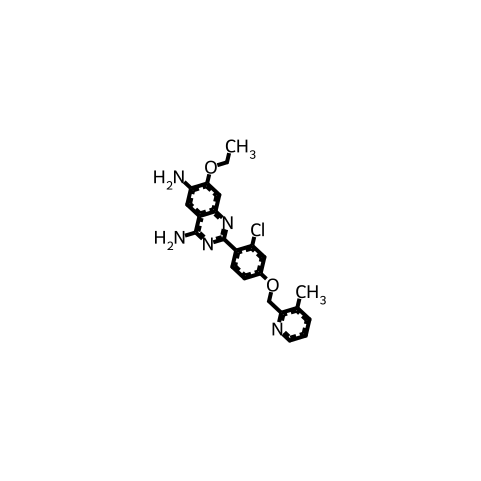 CCOc1cc2nc(-c3ccc(OCc4ncccc4C)cc3Cl)nc(N)c2cc1N